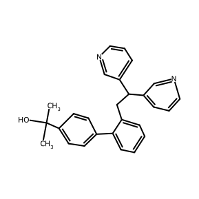 CC(C)(O)c1ccc(-c2ccccc2CC(c2cccnc2)c2cccnc2)cc1